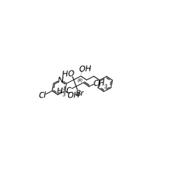 CC=CC(C)(Br)C(O)(c1ncc(Cl)cc1O)[C@H](O)CCc1ccccc1